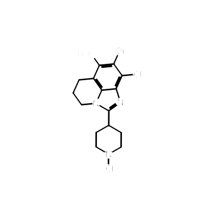 Cc1c(Br)c(C)c2nc(C3CCN(C)CC3)n3c2c1CCC3